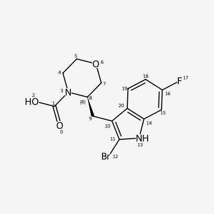 O=C(O)N1CCOC[C@H]1Cc1c(Br)[nH]c2cc(F)ccc12